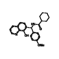 COc1ccc(C(NC(=O)C2CCCCC2)c2ccc3cccnc3c2O)cc1